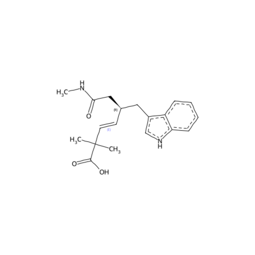 CNC(=O)C[C@H](/C=C/C(C)(C)C(=O)O)Cc1c[nH]c2ccccc12